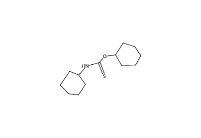 S=C(NC1CCCCC1)OC1CCCCC1